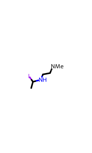 CNCCNC(C)I